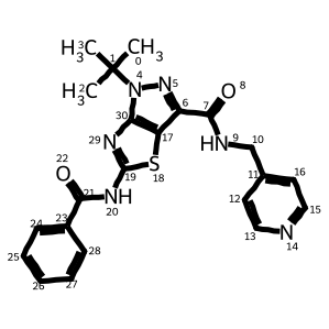 CC(C)(C)n1nc(C(=O)NCc2ccncc2)c2sc(NC(=O)c3ccccc3)nc21